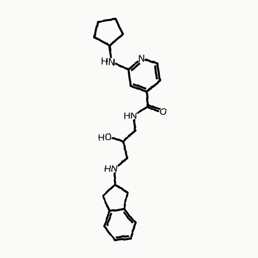 O=C(NCC(O)CNC1Cc2ccccc2C1)c1ccnc(NC2CCCC2)c1